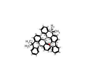 CC1(C)c2ccccc2N2c3ccccc3B(N3c4ccccc4[Si](C)(C)c4ccc5c(oc6ccccc65)c43)c3cccc1c32